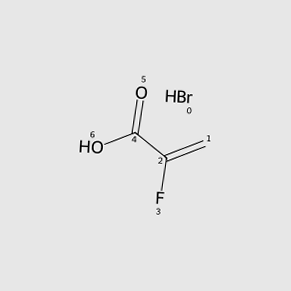 Br.C=C(F)C(=O)O